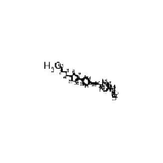 CCCCCc1ccc(-c2ccc(C#Cc3ncc(N=C=S)cn3)cc2)cc1